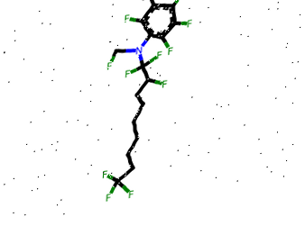 Cc1c(F)c(F)c(F)c(N(CF)C(F)(F)C(F)CCCCCCC(F)(F)F)c1F